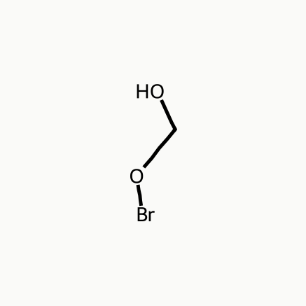 OCOBr